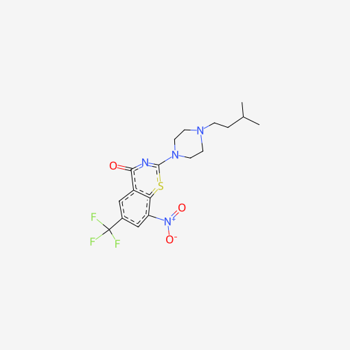 CC(C)CCN1CCN(c2nc(=O)c3cc(C(F)(F)F)cc([N+](=O)[O-])c3s2)CC1